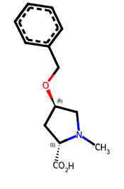 CN1C[C@H](OCc2ccccc2)C[C@H]1C(=O)O